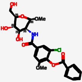 COc1cc(C(=O)N[C@H]2[C@H](OC)O[C@H](CO)[C@@H](O)[C@@H]2O)cc(Cl)c1OC(=O)c1ccccc1